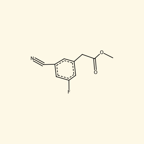 COC(=O)Cc1cc(F)cc(C#N)c1